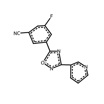 N#Cc1cc(F)cc(-c2nc(-c3cccnc3)no2)c1